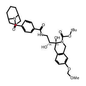 COCOc1ccc2c(c1)CN(C(=O)OC(C)(C)C)[C@@](O)([C@H](O)CNC(=O)c1ccc(C(=O)N3C4CCCC3COC4)cc1)C2